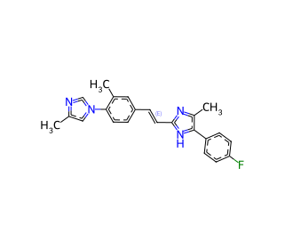 Cc1cn(-c2ccc(/C=C/c3nc(C)c(-c4ccc(F)cc4)[nH]3)cc2C)cn1